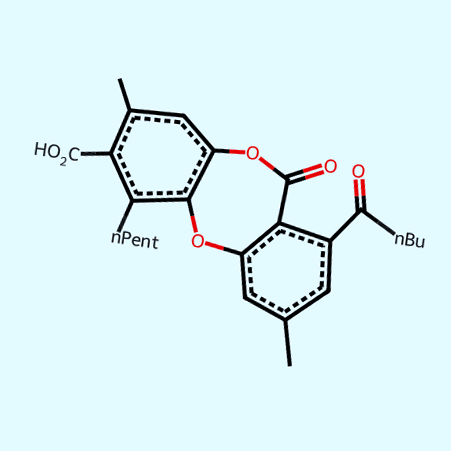 CCCCCc1c2c(cc(C)c1C(=O)O)OC(=O)c1c(cc(C)cc1C(=O)CCCC)O2